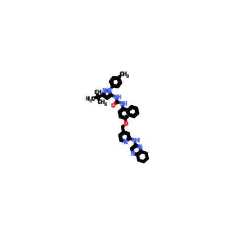 Cc1ccc(-n2nc(C(C)(C)C)cc2NC(=O)Nc2ccc(OCc3ccnc(Nc4cnc5c(n4)CCCC5)c3)c3ccccc23)cc1